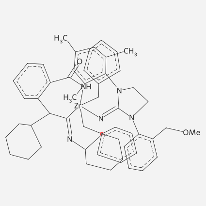 COCc1ccccc1N1CCN(c2c(C)cc(C)cc2C)C1=[N][Zr]1([CH2]c2ccccc2)([CH2]c2ccccc2)[NH]C(=O)c2ccccc2C(C2CCCCC2)[C]1=NC1CCCCC1